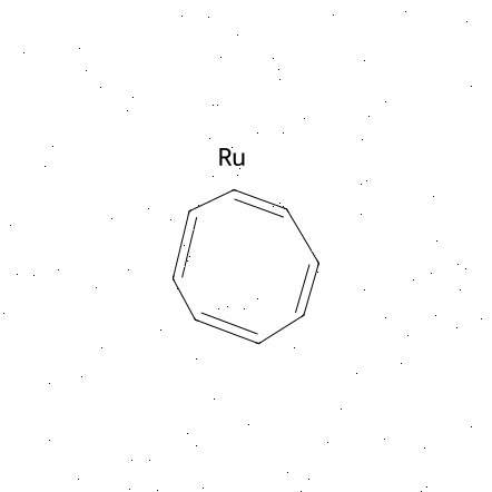 C1=CC=CC=CC=C1.[Ru]